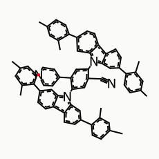 Cc1ccc(-c2ccc3c4ccc(-c5ccc(C)cc5C)cc4n(-c4cc(-c5ccncc5)c(-n5c6cc(-c7ccc(C)cc7C)ccc6c6ccc(-c7ccc(C)cc7C)cc65)cc4C#N)c3c2)c(C)c1